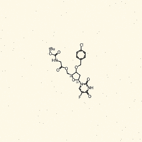 CC(C)(C)OC(=O)NCC(=O)OC[C@@H]1O[C@H](n2cc(F)c(=O)[nH]c2=O)CC1OCc1ccc(Cl)cc1